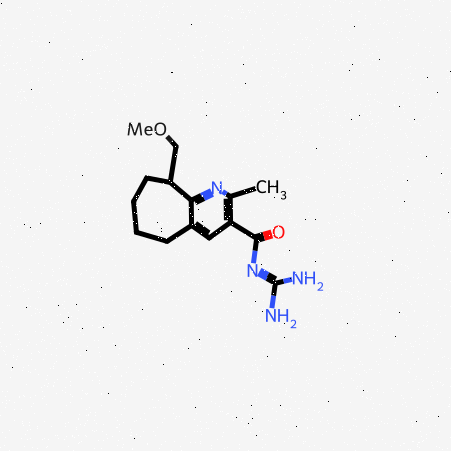 COCC1CCCCc2cc(C(=O)N=C(N)N)c(C)nc21